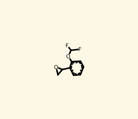 FC(F)Oc1ccccc1C1CO1